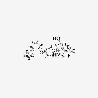 O=C(O)C[C@]1(c2ccc(Oc3ccccc3OC(F)(F)F)cc2)C[C@H](C(F)(F)F)CN1